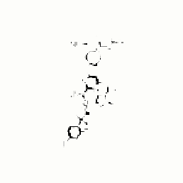 C[C@H](Oc1cc(O[C@H]2CCN(C(=O)OC(C)(C)C)[C@H](CC#N)C2)nc(C(N)=NOC(=O)C(C)(C)c2ccc(F)cc2F)n1)[C@@H]1C[C@@H](F)CN1C